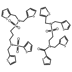 O=C(c1cccs1)N(CCS(=O)(=O)N(Cc1cccs1)Cc1cccs1)Cc1cccs1.O=S(=O)(CCCN(Cc1cccs1)S(=O)(=O)c1cccs1)N(Cc1cccs1)Cc1cccs1